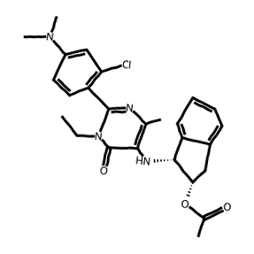 CCn1c(-c2ccc(N(C)C)cc2Cl)nc(C)c(N[C@@H]2c3ccccc3C[C@@H]2OC(C)=O)c1=O